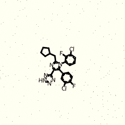 Fc1ccc(-c2c(-c3nn[nH]n3)nc(CC3CCCC3)n2-c2cccc(Cl)c2F)cc1Cl